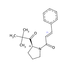 CC(C)(C)C(=O)[C@@H]1CCCN1C(=O)/C=C/c1ccccc1